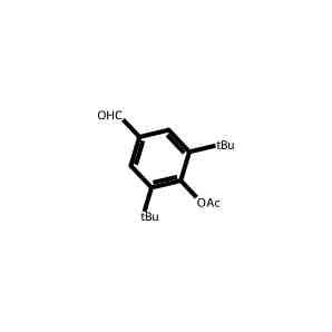 CC(=O)Oc1c(C(C)(C)C)cc(C=O)cc1C(C)(C)C